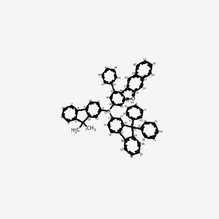 CC1(C)c2ccccc2-c2ccc(N(c3ccc4c(c3)C(c3ccccc3)(c3ccccc3)c3ccccc3-4)c3cc(-c4ccccc4)c4c(c3)oc3cc5ccccc5cc34)cc21